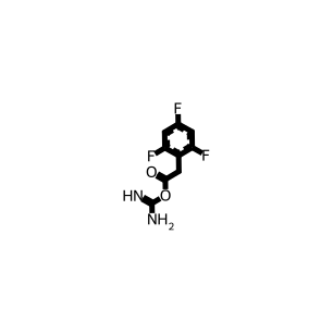 N=C(N)OC(=O)Cc1c(F)cc(F)cc1F